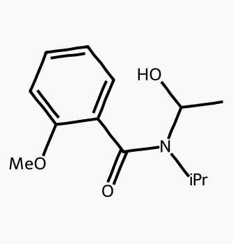 COc1ccccc1C(=O)N(C(C)C)C(C)O